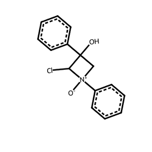 [O-][N+]1(c2ccccc2)CC(O)(c2ccccc2)C1Cl